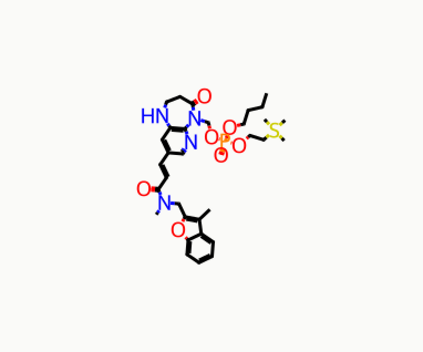 CCCCOP(=O)(OCCS(C)(C)C)OCN1C(=O)CCNc2cc(/C=C/C(=O)N(C)Cc3oc4ccccc4c3C)cnc21